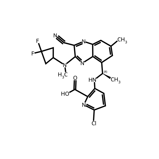 Cc1cc([C@@H](C)Nc2ccc(Cl)nc2C(=O)O)c2nc(N(C)C3CC(F)(F)C3)c(C#N)nc2c1